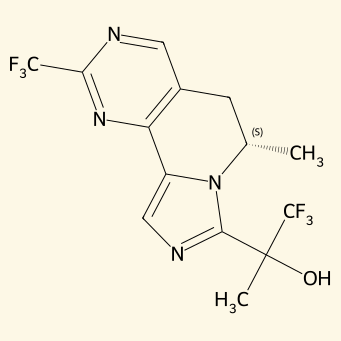 C[C@H]1Cc2cnc(C(F)(F)F)nc2-c2cnc(C(C)(O)C(F)(F)F)n21